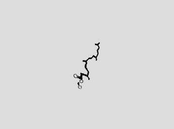 CC(C)CCCC(C)CCCC(C)CCCC(C)CC(=O)OCCl